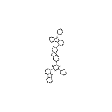 c1ccc(-c2nc(-c3ccc4c(c3)sc3ccc(-c5cccc6c5c5ccccc5n6-c5ccccc5)cc34)nc(-c3cccc4c3oc3ccccc34)n2)cc1